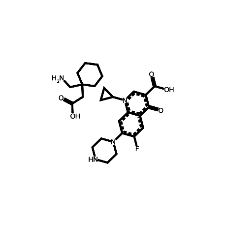 NCC1(CC(=O)O)CCCCC1.O=C(O)c1cn(C2CC2)c2cc(N3CCNCC3)c(F)cc2c1=O